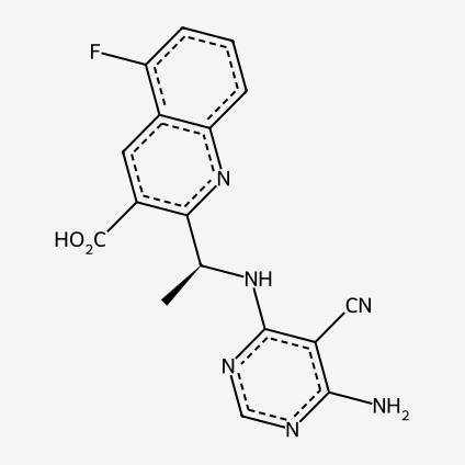 C[C@H](Nc1ncnc(N)c1C#N)c1nc2cccc(F)c2cc1C(=O)O